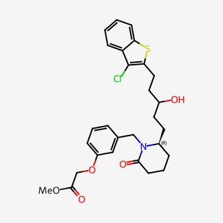 COC(=O)COc1cccc(CN2C(=O)CCC[C@@H]2CCC(O)CCc2sc3ccccc3c2Cl)c1